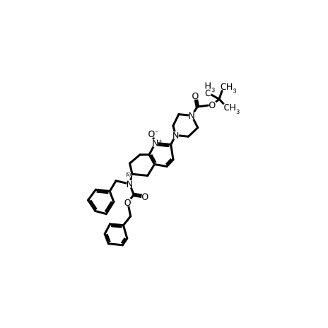 CC(C)(C)OC(=O)N1CCN(c2ccc3c([n+]2[O-])CC[C@H](N(Cc2ccccc2)C(=O)OCc2ccccc2)C3)CC1